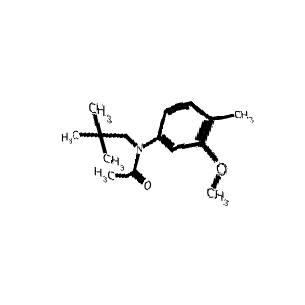 COc1cc(N(CC(C)(C)C)C(C)=O)ccc1C